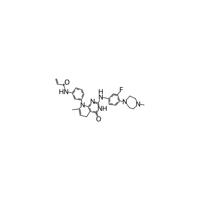 C=CC(=O)Nc1cccc(N2C(C)=CCc3c2nc(Nc2ccc(N4CCN(C)CC4)c(F)c2)[nH]c3=O)c1